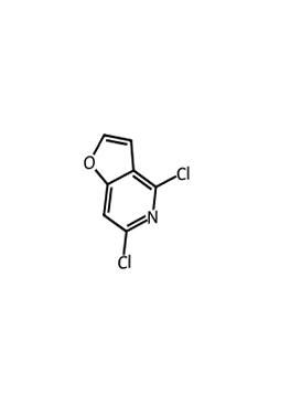 Clc1cc2occc2c(Cl)n1